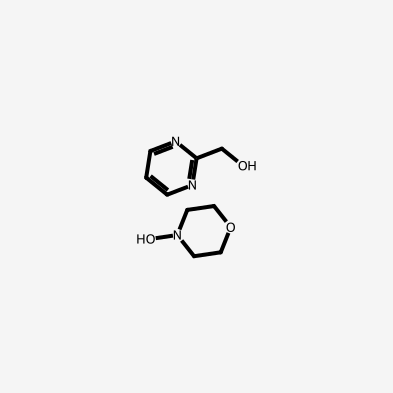 OCc1ncccn1.ON1CCOCC1